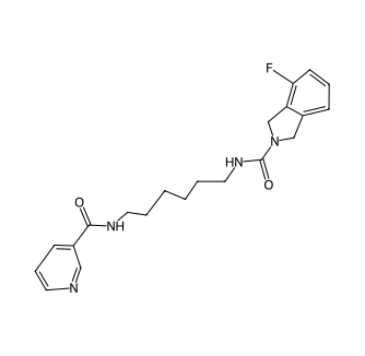 O=C(NCCCCCCNC(=O)N1Cc2cccc(F)c2C1)c1cccnc1